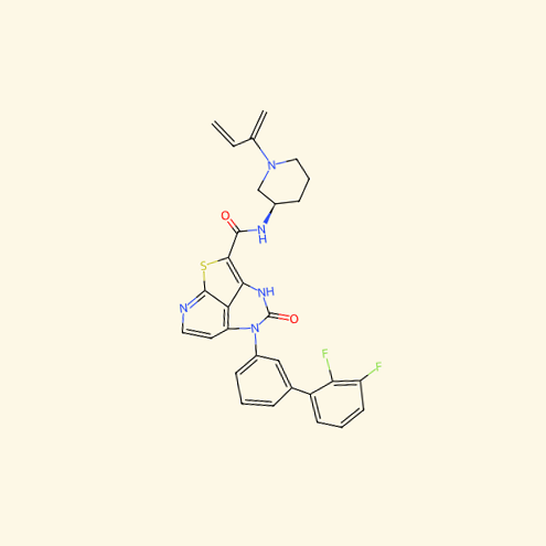 C=CC(=C)N1CCC[C@@H](NC(=O)c2sc3nccc4c3c2NC(=O)N4c2cccc(-c3cccc(F)c3F)c2)C1